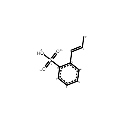 CC=Cc1ccccc1S(=O)(=O)O